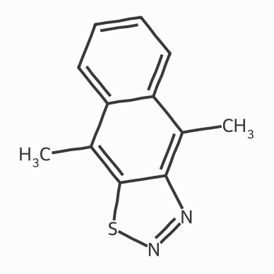 Cc1c2ccccc2c(C)c2snnc12